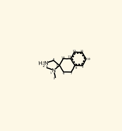 CN(C)C1(CN)CCc2ccccc2C1